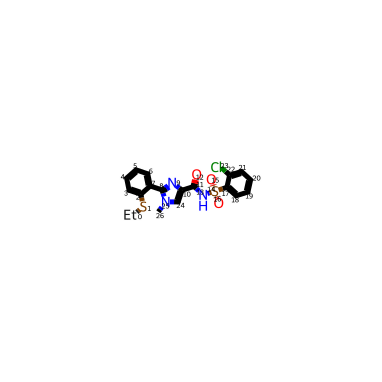 CCSc1ccccc1-c1nc(C(=O)NS(=O)(=O)c2ccccc2Cl)cn1C